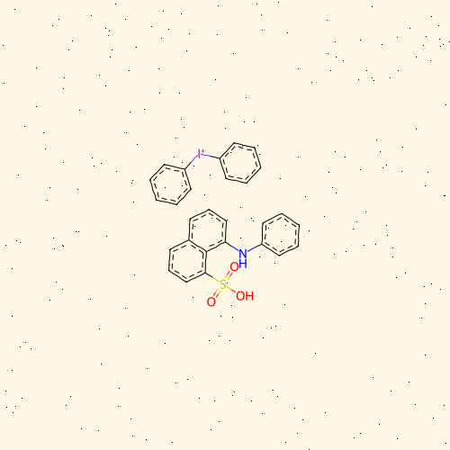 O=S(=O)(O)c1cccc2cccc(Nc3ccccc3)c12.c1ccc([I+]c2ccccc2)cc1